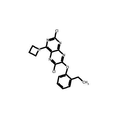 CCc1ccccc1Oc1nc2nc(Cl)nc(N3CCC3)c2nc1Cl